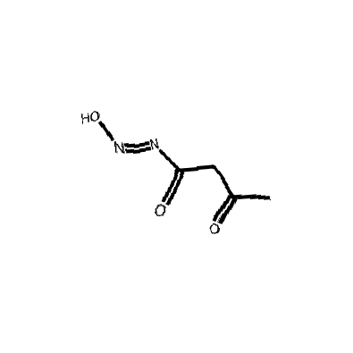 CC(=O)CC(=O)N=NO